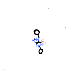 O=c1[nH]c(-c2ccccc2)nc2ncn(Cc3ccc(F)cc3)c12